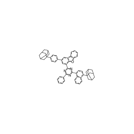 c1ccc(-c2nc(-c3ccc(C45CC6CC(CC(C6)C4)C5)c4ccccc34)nc(-c3cc(-c4ccc(C56CC7CC(CC(C7)C5)C6)cc4)cc4c3oc3ccccc34)n2)cc1